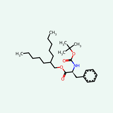 CCCCCC(CCCCC)COC(=O)[C@H](Cc1ccccc1)NC(=O)OC(C)(C)C